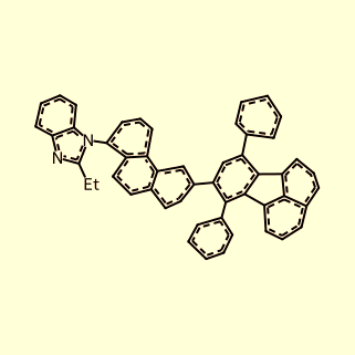 CCc1nc2ccccc2n1-c1cccc2c1ccc1ccc(-c3cc(-c4ccccc4)c4c(c3-c3ccccc3)-c3cccc5cccc-4c35)cc12